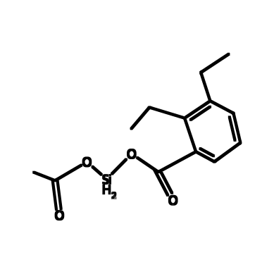 CCc1cccc(C(=O)O[SiH2]OC(C)=O)c1CC